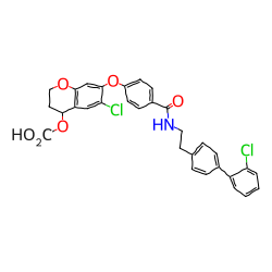 O=C(O)OC1CCOc2cc(Oc3ccc(C(=O)NCCc4ccc(-c5ccccc5Cl)cc4)cc3)c(Cl)cc21